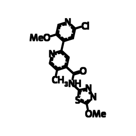 COc1nnc(NC(=O)c2cc(-c3cc(Cl)ncc3OC)ncc2C)s1